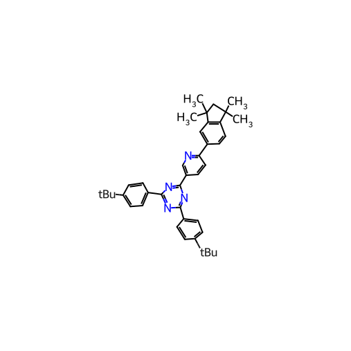 CC(C)(C)c1ccc(-c2nc(-c3ccc(C(C)(C)C)cc3)nc(-c3ccc(-c4ccc5c(c4)C(C)(C)CC5(C)C)nc3)n2)cc1